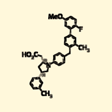 COc1ccc(F)c(-c2ccc(Cc3ccc(N4C[C@H](c5cccc(C)c5)C[C@@H]4CC(=O)O)cc3)c(C)c2)c1